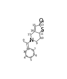 CC(c1ccccc1)N1CCC2SC(=O)C=C2C1